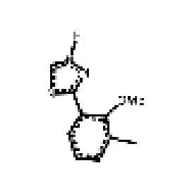 CCn1cnc(-c2cccc(C)c2OC)n1